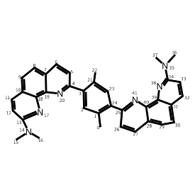 Cc1cc(-c2ccc3ccc4ccc(N(C)C)nc4c3n2)c(C)cc1-c1ccc2ccc3ccc(N(C)C)nc3c2n1